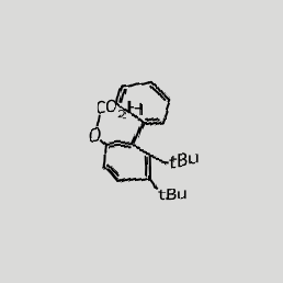 CC(C)(C)c1ccc(OC(=O)O)c(-c2ccccc2)c1C(C)(C)C